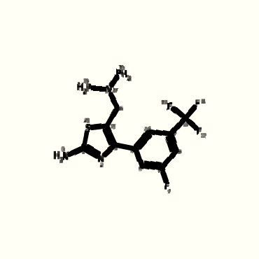 Nc1nc(-c2cc(F)cc(C(F)(F)F)c2)c(CN(P)P)s1